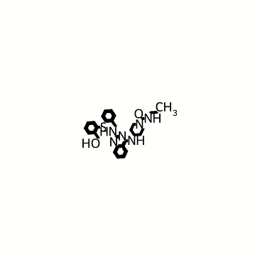 CCCNC(=O)N1CCC(Nc2nc(NCc3ccccc3Sc3ccccc3CO)nc3ccccc23)CC1